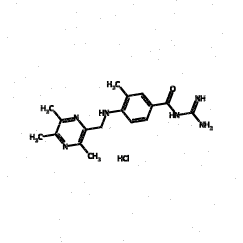 Cc1cc(C(=O)NC(=N)N)ccc1NCc1nc(C)c(C)nc1C.Cl